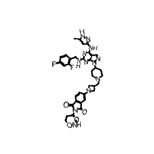 Cc1cc(Nc2nc(NCc3ccc(F)cc3F)nc3c2cnn3C2CCN(CC3CN(c4ccc5c(c4)C(=O)N(C4CCONO4)C5=O)C3)CC2)n[nH]1